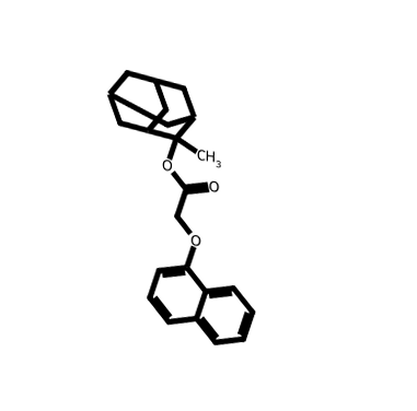 CC1(OC(=O)COc2cccc3ccccc23)C2CC3CC(C2)CC1C3